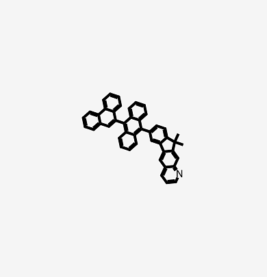 CC1(C)c2ccc(-c3c4ccccc4c(-c4cc5ccccc5c5ccccc45)c4ccccc34)cc2-c2cc3cccnc3cc21